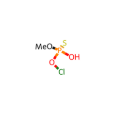 COP(O)(=S)OCl